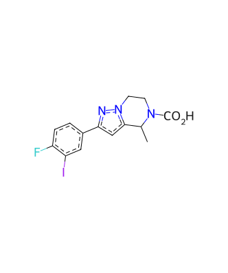 CC1c2cc(-c3ccc(F)c(I)c3)nn2CCN1C(=O)O